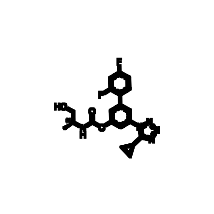 C[C@@H](CO)NC(=O)Oc1cc(-c2ccc(F)cc2F)cc(-n2nnnc2C2CC2)c1